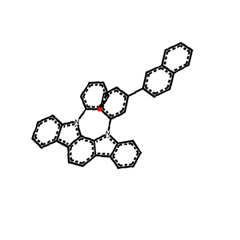 c1ccc(-n2c3ccccc3c3ccc4c5ccccc5n(-c5cccc(-c6ccc7ccccc7c6)c5)c4c32)cc1